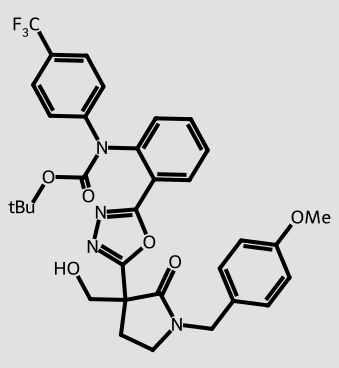 COc1ccc(CN2CCC(CO)(c3nnc(-c4ccccc4N(C(=O)OC(C)(C)C)c4ccc(C(F)(F)F)cc4)o3)C2=O)cc1